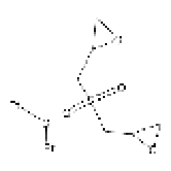 CCOCC.O=S(=O)(CC1CO1)CC1CO1